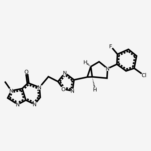 Cn1cnc2ncn(Cc3nc(C4[C@H]5CN(c6cc(Cl)ccc6F)C[C@@H]45)no3)c(=O)c21